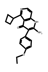 CCOc1ccc(-c2c(N)[nH]c3ccnc(C4CCC4)c3c2=O)cc1